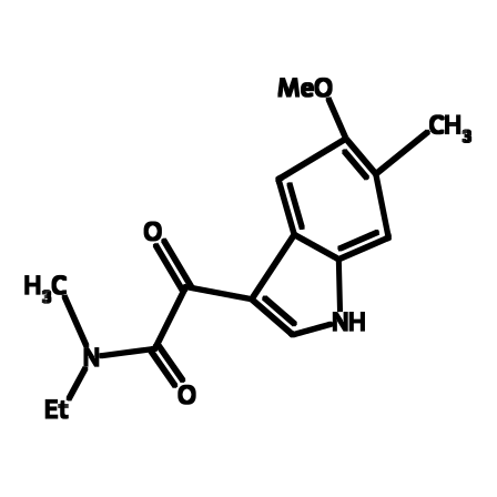 CCN(C)C(=O)C(=O)c1c[nH]c2cc(C)c(OC)cc12